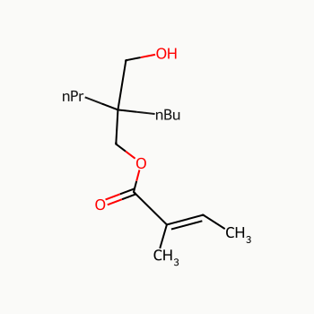 CC=C(C)C(=O)OCC(CO)(CCC)CCCC